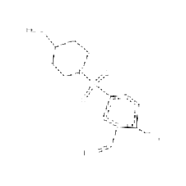 C=Cc1cc(S(=O)(=O)N2CCC(C(=O)O)CC2)ccc1C